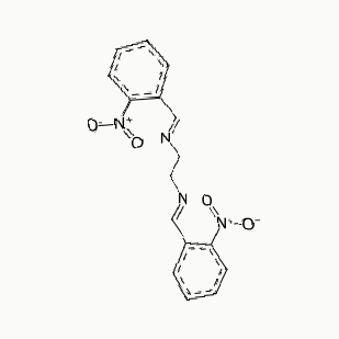 O=[N+]([O-])c1ccccc1C=NCCN=Cc1ccccc1[N+](=O)[O-]